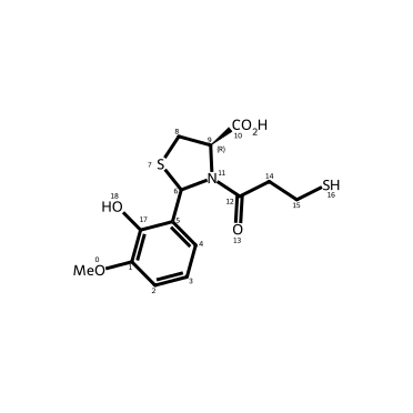 COc1cccc(C2SC[C@@H](C(=O)O)N2C(=O)CCS)c1O